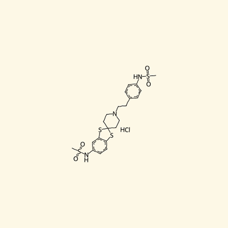 CS(=O)(=O)Nc1ccc(CCN2CCC3(CC2)Sc2ccc(NS(C)(=O)=O)cc2S3)cc1.Cl